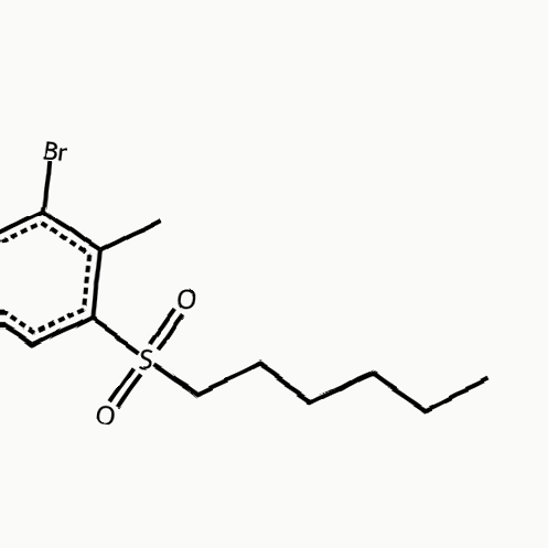 CCCCCCS(=O)(=O)c1cccc(Br)c1C